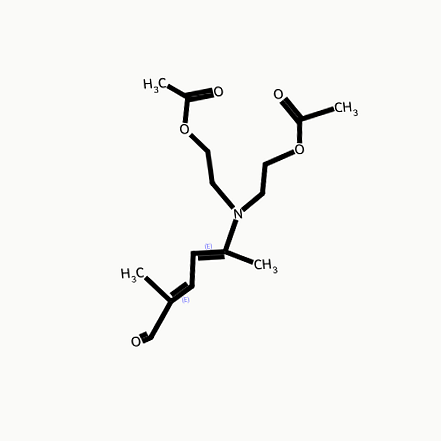 CC(=O)OCCN(CCOC(C)=O)/C(C)=C/C=C(\C)C=O